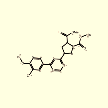 COC(=O)C1CC(c2cc(-c3ccc(OC(C)C)c(Cl)c3)ncn2)CN1C(=O)OC(C)(C)C